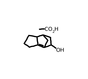 CC(=O)O.OC1CC2CC1=C1CCCC12